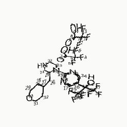 O=C(O)C(F)(F)F.O=C(O)C(F)(F)F.OC(c1cnc(N2CCNC[C@@H]2CC2CCOCC2)nc1)(C(F)(F)F)C(F)(F)F